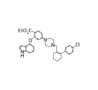 CCOC(=O)c1ccc(N2CCN(CC3=C(c4ccc(Cl)cc4)CCCC3)CC2)cc1Oc1cccc2[nH]ccc12